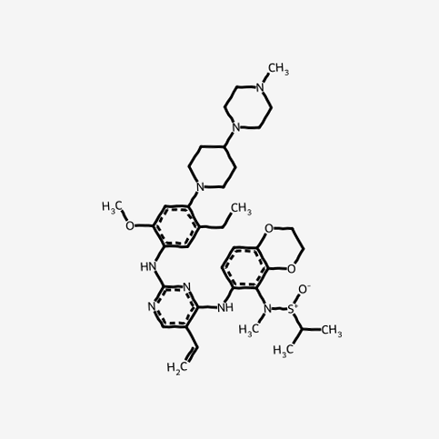 C=Cc1cnc(Nc2cc(CC)c(N3CCC(N4CCN(C)CC4)CC3)cc2OC)nc1Nc1ccc2c(c1N(C)[S+]([O-])C(C)C)OCCO2